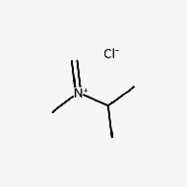 C=[N+](C)C(C)C.[Cl-]